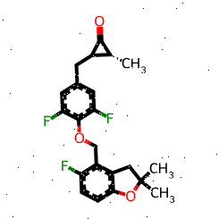 C[C@H]1C(=O)C1Cc1cc(F)c(OCc2c(F)ccc3c2CC(C)(C)O3)c(F)c1